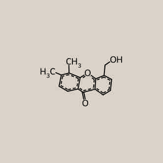 Cc1ccc2c(=O)c3cccc(CO)c3oc2c1C